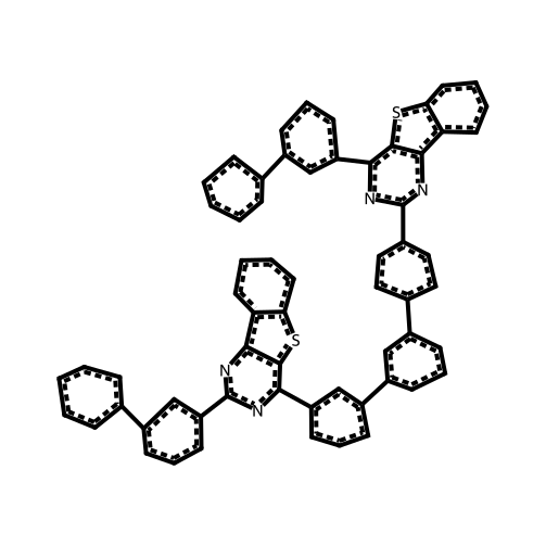 c1ccc(-c2cccc(-c3nc(-c4cccc(-c5cccc(-c6ccc(-c7nc(-c8cccc(-c9ccccc9)c8)c8sc9ccccc9c8n7)cc6)c5)c4)c4sc5ccccc5c4n3)c2)cc1